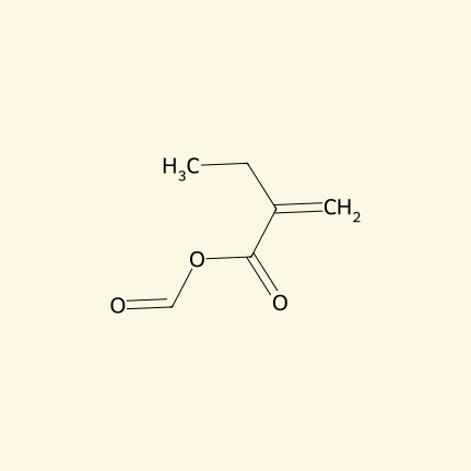 C=C(CC)C(=O)OC=O